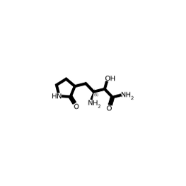 NC(=O)C(O)[C@@H](N)CC1CCNC1=O